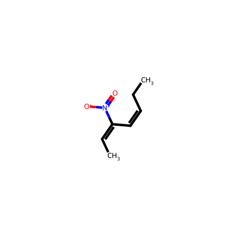 C/C=C(\C=C/CC)[N+](=O)[O-]